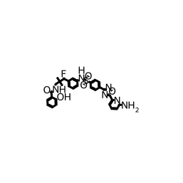 CC(C)(CNC(=O)c1ccccc1O)C(F)c1cccc(NS(=O)(=O)c2ccc(-c3noc(-c4cccc(N)n4)n3)cc2)c1